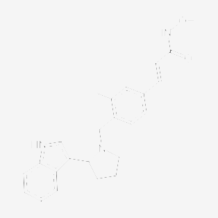 O=C(/C=C/c1ccc(CN2CCCC2c2c[nH]c3ccccc23)c(F)c1)NO